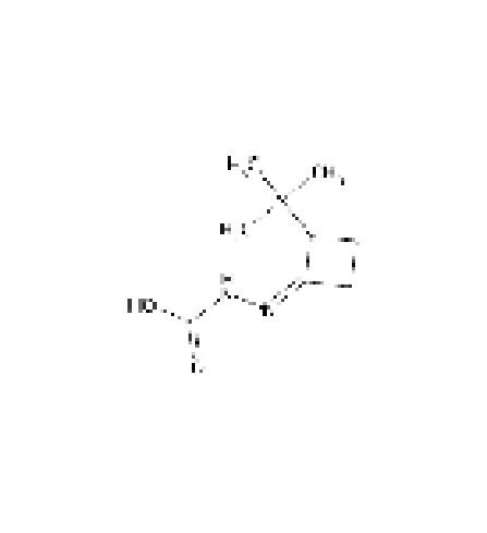 CC(C)(C)C1CCC1=NNC(=O)O